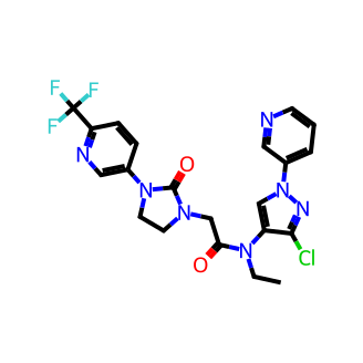 CCN(C(=O)CN1CCN(c2ccc(C(F)(F)F)nc2)C1=O)c1cn(-c2cccnc2)nc1Cl